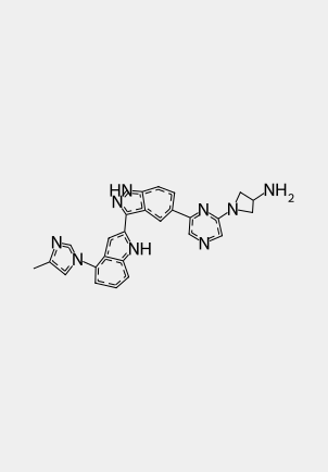 Cc1cn(-c2cccc3[nH]c(-c4n[nH]c5ccc(-c6cncc(N7CC(N)C7)n6)cc45)cc23)cn1